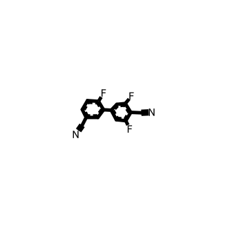 N#Cc1ccc(F)c(-c2cc(F)c(C#N)c(F)c2)c1